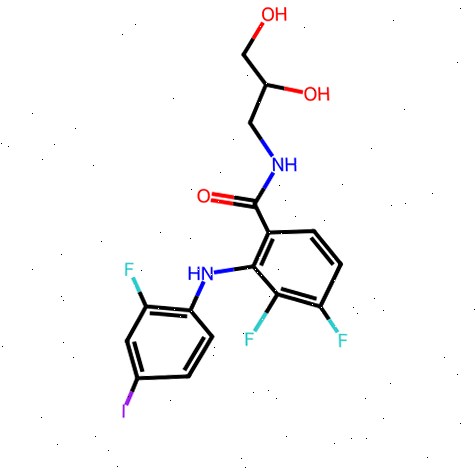 O=C(NCC(O)CO)c1ccc(F)c(F)c1Nc1ccc(I)cc1F